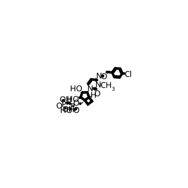 Cn1c(=O)n([C@H]2C(O)C(O)[C@]3(COP(=O)(O)CP(=O)(O)O)CC[C@H]23)cc/c1=N/OCc1ccc(Cl)cc1